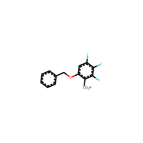 O=C(O)c1c(OCc2ccccc2)cc(F)c(F)c1F